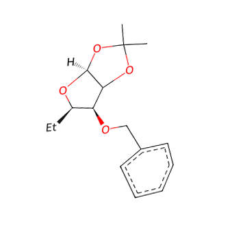 CC[C@H]1O[C@H]2OC(C)(C)OC2[C@H]1OCc1ccccc1